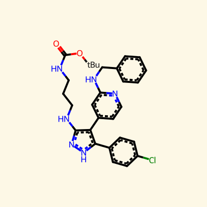 CC(C)(C)OC(=O)NCCCNc1n[nH]c(-c2ccc(Cl)cc2)c1-c1ccnc(NCc2ccccc2)c1